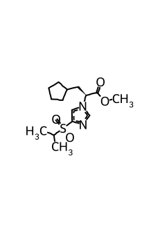 COC(=O)[C@H](CC1CCCC1)n1cnc(S(=O)(=O)C(C)C)c1